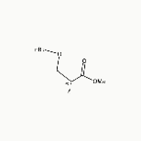 CCCCOC[C@@H](C)C(=O)OC